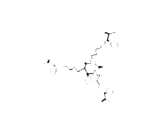 C=C(C)C(=O)OCCCCCC1C(=O)N(CCCCOC(=O)C(=C)C)C(=O)N(CCCOC(=O)C(=C)C)C1=O